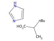 CCCCC(C)C(=O)O.c1c[nH]cn1